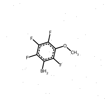 Bc1c(F)c(F)c(F)c(OC)c1F